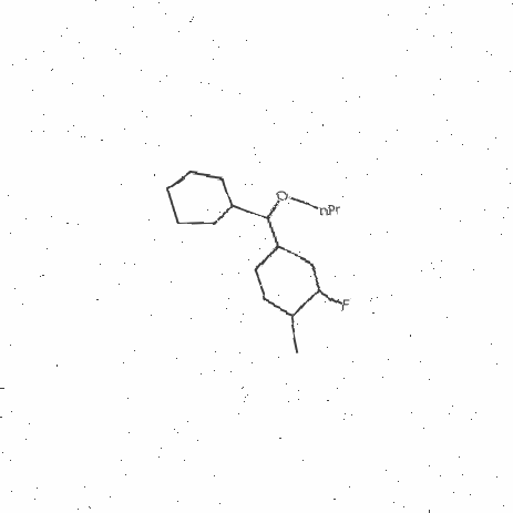 CCCOC(C1CCCCC1)C1CCC(C)C(F)C1